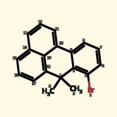 CC1(C)c2c(Br)cccc2-c2cccc3cccc1c23